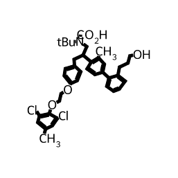 Cc1cc(Cl)c(OCCOc2ccc(CC(CN(C(=O)O)C(C)(C)C)c3ccc(-c4ccccc4CCCO)cc3C)cc2)c(Cl)c1